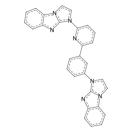 c1cc(-c2cccc(-n3ccn4c5ccccc5nc34)n2)cc(-n2ccn3c4ccccc4nc23)c1